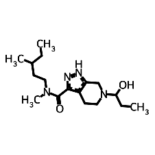 CCC(C)CCN(C)C(=O)c1n[nH]c2c1CCN(C(O)CC)C2